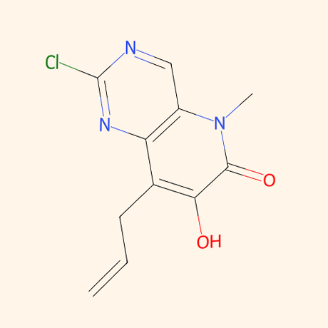 C=CCc1c(O)c(=O)n(C)c2cnc(Cl)nc12